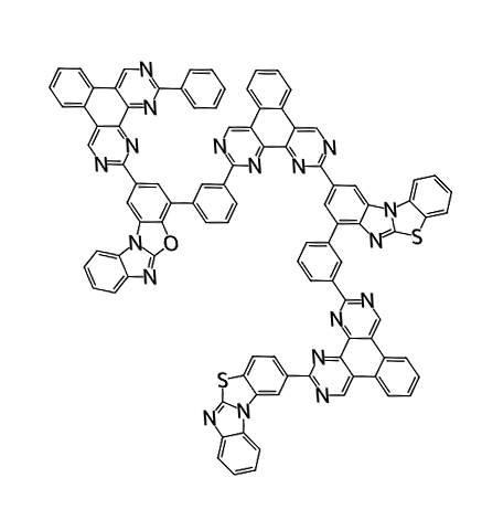 c1ccc(-c2ncc3c4ccccc4c4cnc(-c5cc(-c6cccc(-c7ncc8c9ccccc9c9cnc(-c%10cc(-c%11cccc(-c%12ncc%13c%14ccccc%14c%14cnc(-c%15ccc%16sc%17nc%18ccccc%18n%17c%16c%15)nc%14c%13n%12)c%11)c%11nc%12sc%13ccccc%13n%12c%11c%10)nc9c8n7)c6)c6oc7nc8ccccc8n7c6c5)nc4c3n2)cc1